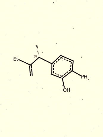 C=C(CC)[C@H](C)c1ccc(P)c(O)c1